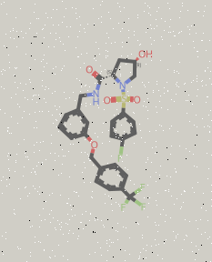 O=C(NCc1cccc(OCc2ccc(C(F)(F)F)cc2)c1)[C@@H]1C[C@@H](O)CN1S(=O)(=O)c1ccc(F)cc1